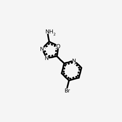 Nc1nnc(-c2cc(Br)ccn2)o1